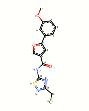 COc1cccc(-c2cc(C(=O)Nc3nc(CCl)ns3)co2)c1